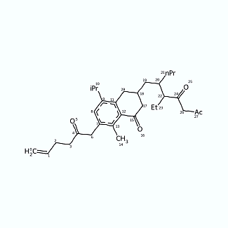 C=CCCC(=O)Cc1cc(C(C)C)c2c(c1C)C(=O)CC(CC(CCC)C(CC)C(=O)CC(C)=O)C2